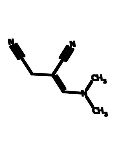 CN(C)C=C(C#N)CC#N